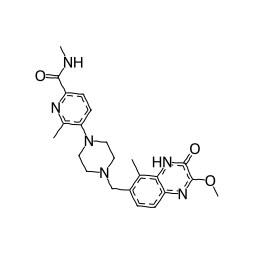 CNC(=O)c1ccc(N2CCN(Cc3ccc4nc(OC)c(=O)[nH]c4c3C)CC2)c(C)n1